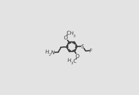 COc1cc(SCF)c(OC)cc1CCN